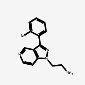 NCCn1nc(-c2ccccc2Br)c2cnccc21